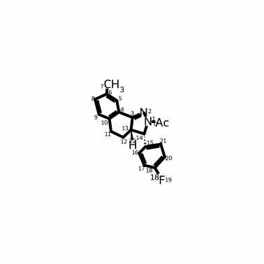 CC(=O)N1N=C2c3cc(C)ccc3CC[C@H]2[C@H]1c1ccc([18F])cc1